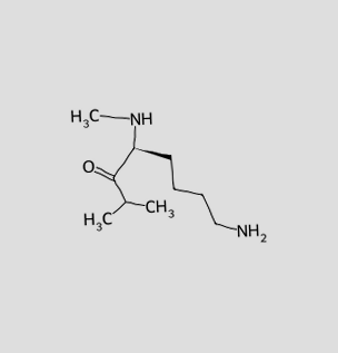 CN[C@@H](CCCCN)C(=O)C(C)C